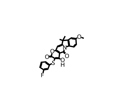 COc1ccc2c(c1)C(C)(C)c1cc3oc(=O)c(Sc4cccc(F)c4)c(O)c3c(=O)n1-2